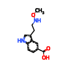 CONCCc1c[nH]c2ccc(C(=O)O)cc12